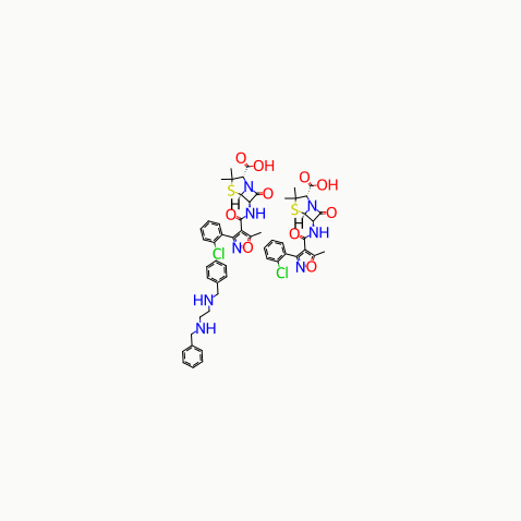 Cc1onc(-c2ccccc2Cl)c1C(=O)N[C@@H]1C(=O)N2[C@@H]1SC(C)(C)[C@@H]2C(=O)O.Cc1onc(-c2ccccc2Cl)c1C(=O)N[C@@H]1C(=O)N2[C@@H]1SC(C)(C)[C@@H]2C(=O)O.c1ccc(CNCCNCc2ccccc2)cc1